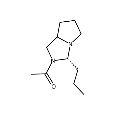 CCC[C@@H]1N(C(C)=O)CC2CCCN21